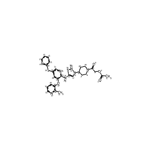 CC(=O)OCC(=O)N1CCC(N2C=C(Nc3ncc(Sc4ccccn4)cc3Oc3cccnc3C)SN2)CC1